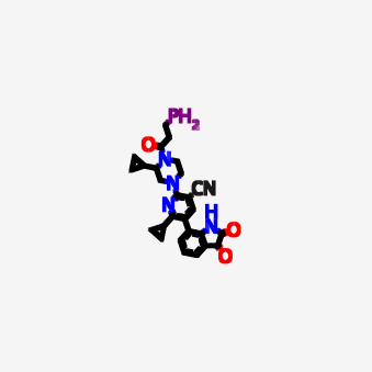 N#Cc1cc(-c2cccc3c2NC(=O)C3=O)c(C2CC2)nc1N1CCN(C(=O)CCP)C(C2CC2)C1